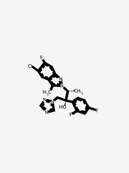 Cc1c2cc(Cl)c(F)cc2nn1[C@H](C)[C@](O)(Cn1cncn1)c1ccc(F)cc1F